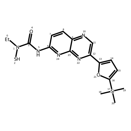 CCN(S)C(=O)Nc1ccc2ncc(-c3ccc([Si](C)(C)C)o3)nc2n1